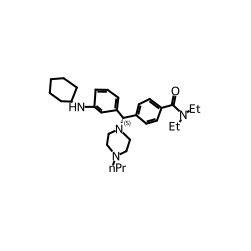 CCCN1CCN([C@@H](c2ccc(C(=O)N(CC)CC)cc2)c2cccc(NC3CCCCC3)c2)CC1